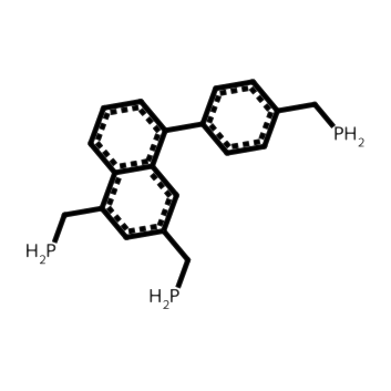 PCc1ccc(-c2cccc3c(CP)cc(CP)cc23)cc1